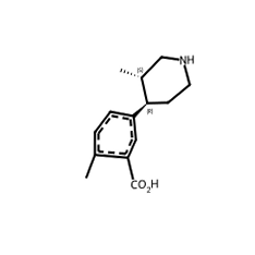 Cc1ccc([C@@H]2CCNC[C@H]2C)cc1C(=O)O